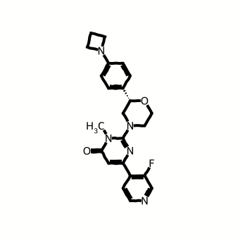 Cn1c(N2CCO[C@@H](c3ccc(N4CCC4)cc3)C2)nc(-c2ccncc2F)cc1=O